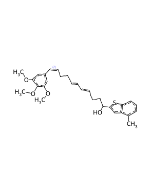 COc1cc(/C=C\CCC=CC=CCCC(O)c2cc3c(C)cccc3s2)cc(OC)c1OC